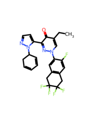 CCc1cn(-c2cc3c(cc2F)CC(F)(F)C(F)(F)C3)nc(-c2ccnn2C2C=CC=CC2)c1=O